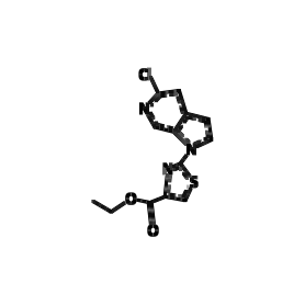 CCOC(=O)c1csc(-n2ccc3cc(Cl)ncc32)n1